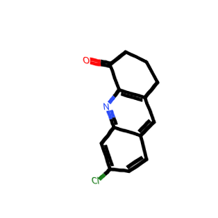 O=C1CCCc2cc3ccc(Cl)cc3nc21